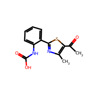 CC(=O)c1sc(-c2ccccc2NC(=O)O)nc1C